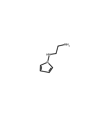 NCCNn1cccc1